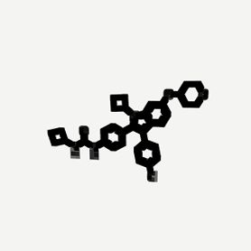 O=C(Nc1ccc(-c2c(-c3ccc(Cl)cc3)c3ccc(OC4CCOCC4)cc3n2C2CCC2)cc1)NC1CCC1